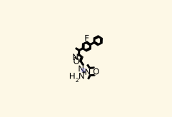 CC(c1ccc(-c2ccccc2)c(F)c1)c1cc(C/N=C(/N)N2C(C)COCC2C)on1